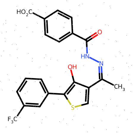 C/C(=N/NC(=O)c1ccc(C(=O)O)cc1)c1csc(-c2cccc(C(F)(F)F)c2)c1O